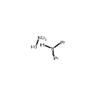 CCN(C(C)C)C(C)C.O=[N+]([O-])O